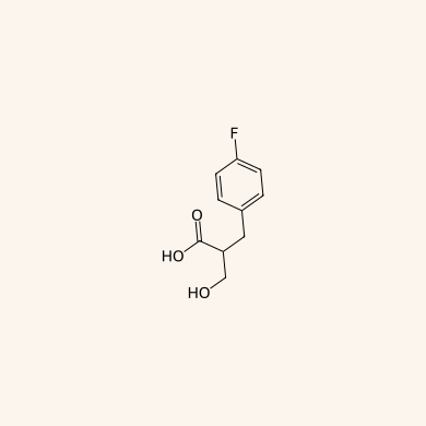 O=C(O)C(CO)Cc1ccc(F)cc1